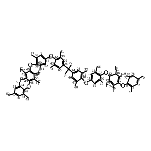 Cc1cc(C)c(OC2=C(F)C(F)C(Oc3c(C)cc(Oc4c(C)cc(C(C)(C)c5cc(C)c(Oc6cc(C)c(Oc7c(F)c(F)c(Oc8c(C)cc(C)cc8C)c(F)c7F)c(C)c6)c(C)c5)cc4C)cc3C)C(F)=C2F)c(C)c1